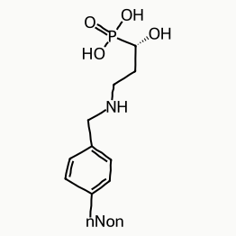 CCCCCCCCCc1ccc(CNCC[C@@H](O)P(=O)(O)O)cc1